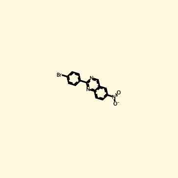 O=[N+]([O-])c1ccc2nc(-c3ccc(Br)cc3)ncc2c1